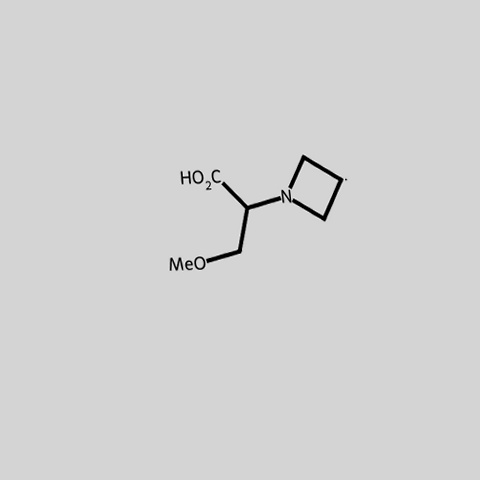 COCC(C(=O)O)N1C[CH]C1